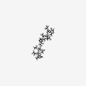 C=C(C)C(=O)OCC(COCC(=O)Nc1ccc(C)c(NC(=O)COCC(COCC(COC(=O)C(=C)C)(COC(=O)C(=C)C)COC(=O)C(=C)C)(COC(=O)C(=C)C)COC(=O)C(=C)C)c1)(COCC(COC(=O)C(=C)C)(COC(=O)C(=C)C)COC(=O)C(=C)C)COC(=O)C(=C)C